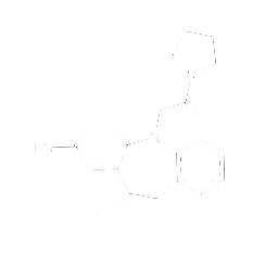 CC(C)(C)C1Cc2ccccc2N(CC(=O)N2CCCC2)C(=O)C1OC(N)=O